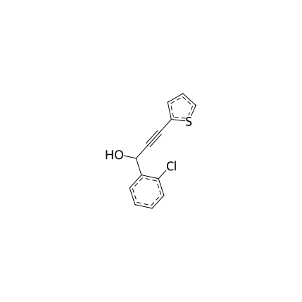 OC(C#Cc1cccs1)c1ccccc1Cl